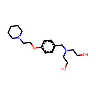 OCCN(CCO)Cc1ccc(OCCN2CCCCC2)cc1